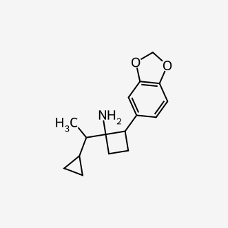 CC(C1CC1)C1(N)CCC1c1ccc2c(c1)OCO2